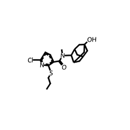 CCCSc1nc(Cl)ccc1C(=O)N(C)C1C2CC3CC1CC(O)(C3)C2